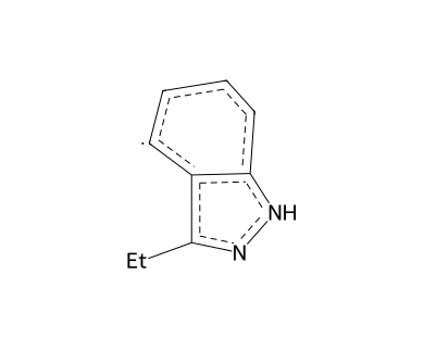 CCc1n[nH]c2ccc[c]c12